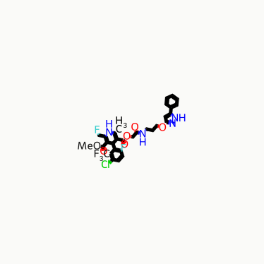 COC(=O)C1=C(CF)NC(C)=C(C(=O)OCC(=O)NCCCOc2cc(-c3ccccc3)[nH]n2)C1c1c(F)ccc(Cl)c1C(F)(F)F